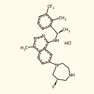 Cc1c([C@@H](C)Nc2nnc(C)c3ccc(N4CCNC[C@@H](F)C4)cc23)cccc1C(F)(F)F.Cl